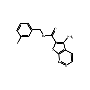 Nc1c(C(=O)NCc2cccc(F)c2)sc2nnccc12